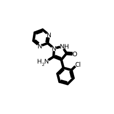 Nc1c(-c2ccccc2Cl)c(=O)[nH]n1-c1ncccn1